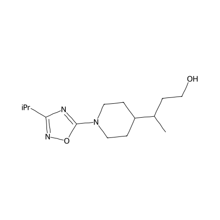 CC(C)c1noc(N2CCC(C(C)CCO)CC2)n1